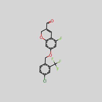 O=CC1=Cc2c(F)cc(OCc3ccc(Cl)cc3C(F)(F)F)cc2OC1